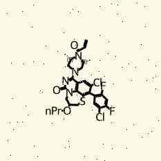 C=CC(=O)N1[C@H](C)CN(c2nc(=O)n3c4c(c(-c5cc(Cl)c(F)cc5F)c(Cl)cc24)SCC(OCCC)C3)C[C@@H]1C